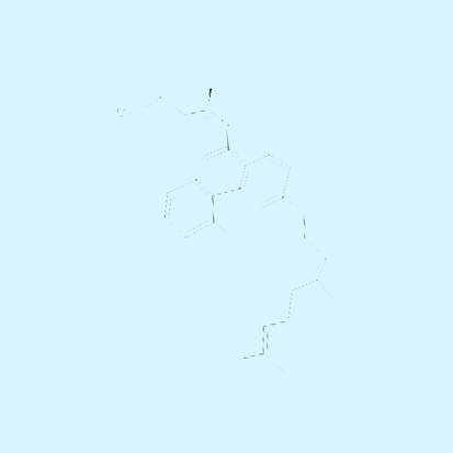 CSCC[C@H](NC(=O)c1ccc(OCC=C(C)CCC=C(C)C)cc1-c1ccccc1C)C(=O)O